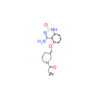 CC(C)CC(=O)N1CCC/C(=C\Oc2cccc3c2C(N)=N[S+]([O-])N3)C1